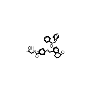 C[C@H](O)CNC(=O)c1ccc(SCc2c(O[C@H](Cn3ccnc3)c3ccccc3)ccc3c2CCCC3=O)cc1